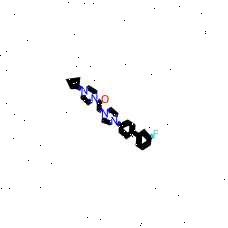 O=C(CN1CCN(c2ccc(-c3cccc(F)c3)cc2)CC1)N1CCN(C2CCC2)CC1